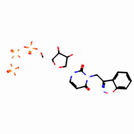 O=c1ccn([C@@H]2O[C@H](COP(=O)(O)OP(=O)(O)OP(=O)(O)O)C(O)C2O)c(=O)n1Cc1noc2ccccc12